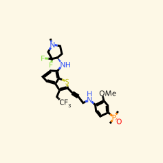 COc1cc(P(C)(C)=O)ccc1NCC#Cc1sc2c(N[C@@H]3CCN(C)CC3(F)F)cccc2c1CC(F)(F)F